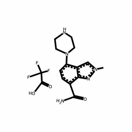 Cn1cc2c(N3CCNCC3)ccc(C(N)=O)c2n1.O=C(O)C(F)(F)F